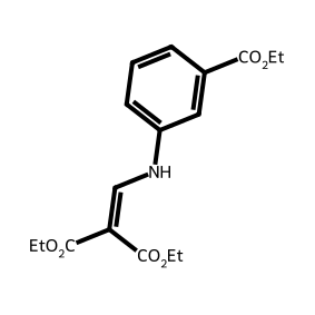 CCOC(=O)C(=CNc1cccc(C(=O)OCC)c1)C(=O)OCC